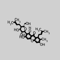 CC(C)=CCc1c(C)c(O)cc2oc3cc(O)c(C4O[C@@H](CO)C(CC=C(C)C)[C@@H](O)[C@@H]4O)c(O)c3c(=O)c12